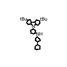 CC(C)(C)c1ccc2c(c1)c1cc(C(C)(C)C)ccc1n2-c1cccc(Nc2ccc(-c3ccccc3)cc2)c1